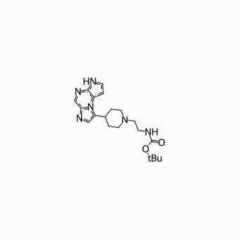 CC(C)(C)OC(=O)NCCN1CCC(c2cnc3cnc4[nH]ccc4n23)CC1